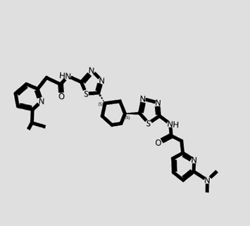 CC(C)c1cccc(CC(=O)Nc2nnc([C@H]3CCC[C@H](c4nnc(NC(=O)Cc5cccc(N(C)C)n5)s4)C3)s2)n1